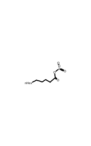 CCCCCCCCCCC(=O)O[SH](=O)=O